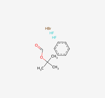 Br.CC(C)(C)OC=O.F.F.c1ccccc1